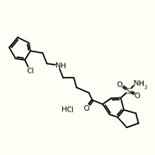 Cl.NS(=O)(=O)c1cc(C(=O)CCCCNCCc2ccccc2Cl)cc2c1CCC2